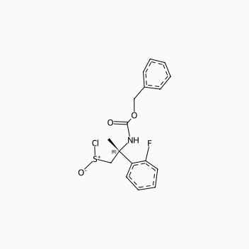 C[C@@](C[S+]([O-])Cl)(NC(=O)OCc1ccccc1)c1ccccc1F